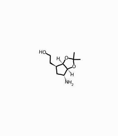 CC1(C)O[C@@H]2[C@H](CCO)C[C@@H](N)[C@@H]2O1